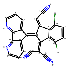 N#C/C=C1/C(=C2c3cccnc3-c3ncccc32)C(=C(C#N)C#N)c2c(F)ccc(F)c21